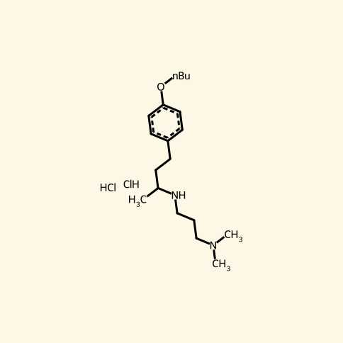 CCCCOc1ccc(CCC(C)NCCCN(C)C)cc1.Cl.Cl